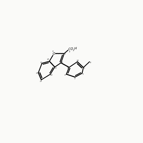 Cc1cccc(-c2c(C(=O)O)oc3ccccc23)c1